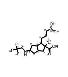 NC1(C(=O)O)CC2CC(NCC(F)(F)F)CC2C1CCCB(O)O